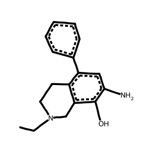 CCN1CCc2c(-c3ccccc3)cc(N)c(O)c2C1